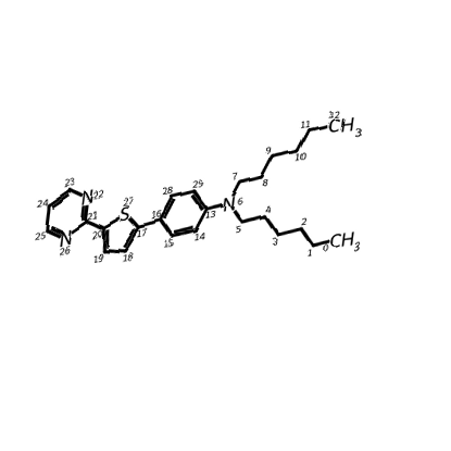 CCCCCCN(CCCCCC)c1ccc(-c2ccc(-c3ncccn3)s2)cc1